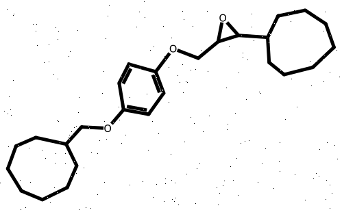 c1cc(OCC2OC2C2CCCCCCC2)ccc1OCC1CCCCCCC1